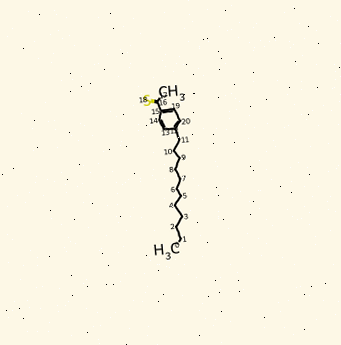 CCCCCCCCCCCCc1ccc(C(C)=S)cc1